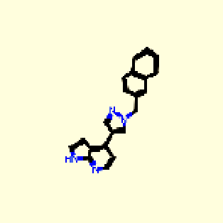 C1=C=Cc2cc(Cn3cc(-c4ccnc5[nH]ccc45)cn3)ccc2C=1